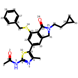 CC(=O)Nc1nc(C)c(-c2cc3c(c(SCc4ccccc4)c2)C(=O)N(CCC2CC2)C3)s1